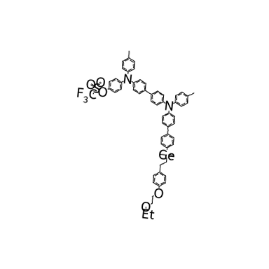 CCOCCOc1ccc(C[CH2][Ge]([CH3])([CH3])[c]2ccc(-c3ccc(N(c4ccc(C)cc4)c4ccc(-c5ccc(N(c6ccc(C)cc6)c6ccc(OS(=O)(=O)C(F)(F)F)cc6)cc5)cc4)cc3)cc2)cc1